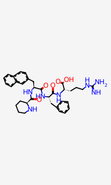 N=C(N)NCCC[C@H](NC(=O)[C@H](Cc1ccccc1)NC(=O)[C@H](Cc1ccc2ccccc2c1)NC(=O)[C@@H]1CCCCN1)C(=O)O